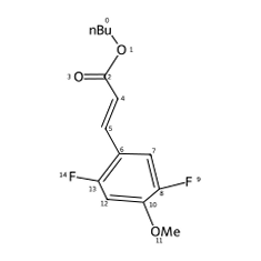 CCCCOC(=O)/C=C/c1cc(F)c(OC)cc1F